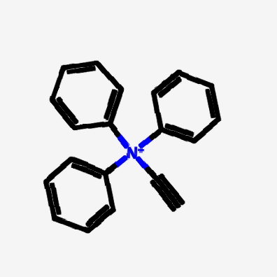 C#C[N+](c1ccccc1)(c1ccccc1)c1ccccc1